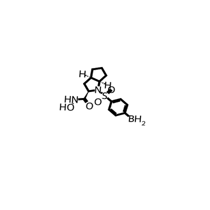 Bc1ccc(S(=O)(=O)N2[C@@H](C(=O)NO)C[C@H]3CCC[C@H]32)cc1